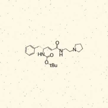 CC(C)(C)OC(=O)N[C@@H](C=CC(=O)NCCN1CCCC1)Cc1ccccc1